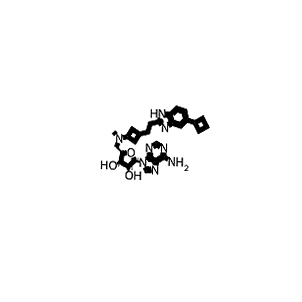 CN(C[C@H]1O[C@@H](n2cnc3c(N)ncnc32)[C@@H](O)[C@H]1O)C1CC(CCc2nc3cc(C4CCC4)ccc3[nH]2)C1